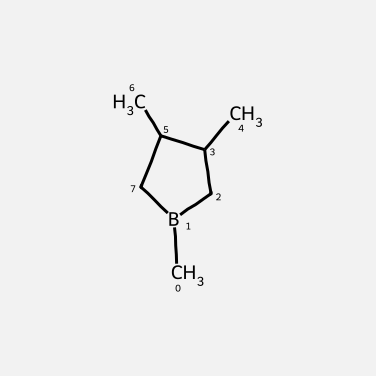 CB1CC(C)C(C)C1